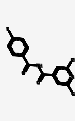 O=C(NC(=O)c1cc(Cl)nc(Cl)c1)c1ccc(F)cc1